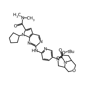 CN(C)C(=O)c1cc2cnc(Nc3ccc(N4CC5COCC(CC4=O)N5C(=O)OC(C)(C)C)cn3)nc2n1C1CCCC1